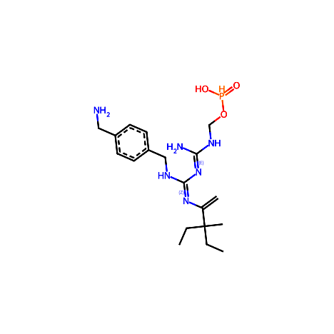 C=C(/N=C(\N=C(/N)NCO[PH](=O)O)NCc1ccc(CN)cc1)C(C)(CC)CC